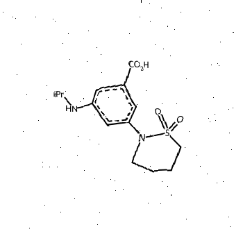 CC(C)Nc1cc(C(=O)O)cc(N2CCCCS2(=O)=O)c1